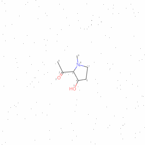 CC(=O)C1C(O)CCN1C